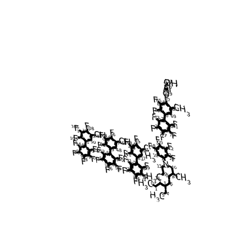 CCCC(CC)CCC(C)CN(CCC)c1cc(F)c(F)c(F)c1F.Cc1cc(-c2c(F)c(F)c(F)c(F)c2F)c(F)c(F)c1F.Cc1cc(-c2c(F)c(F)c(F)c(F)c2F)c(F)c(F)c1F.Cc1cc(-c2c(F)c(F)c(F)c(F)c2F)c(F)c(F)c1F.Cc1cc(-c2c(F)c(F)c(F)c(F)c2F)c(F)c(F)c1F.[O]=[Al][OH]